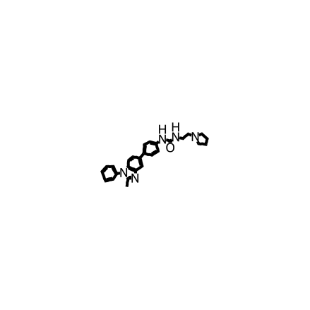 Cc1nc2cc(-c3ccc(NC(=O)NCCN4CCCC4)cc3)ccc2n1-c1ccccc1